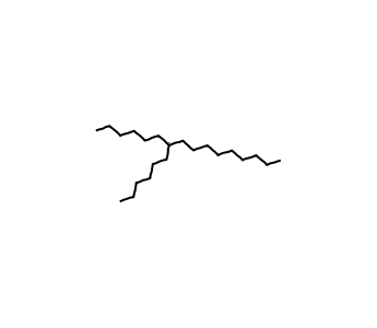 CCCCCCCCC[C](CCCCCC)CCCCCC